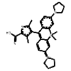 Cc1sc(C(=O)O)c(C)c1C1=C2C=CC(=[N+]3CCCC3)C=C2[Si](C)(C)c2cc(N3CCCC3)ccc21